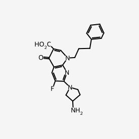 NC1CCN(c2nc3c(cc2F)c(=O)c(C(=O)O)cn3CCCc2ccccc2)C1